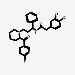 O=C(Cc1ccc(Cl)c(Cl)c1)NC(CCN1CCCCC1C(=O)c1ccc(F)cc1)c1ccccc1